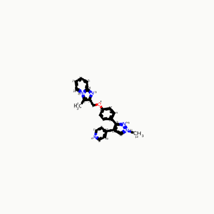 Cc1c(COc2ccc(-c3nn(C)cc3-c3ccncc3)cc2)nc2ccccn12